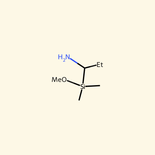 CCC(N)[Si](C)(C)OC